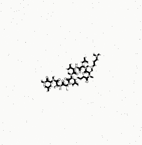 CCCC(=O)N(C)[C@H](COCCCN(C)C)C(=O)N(C)[C@@H](CC(C)C)C(=O)N[C@H](C(=O)N(C)[C@@H](CC(C)C)C(=O)N[C@H](C)C(=O)N[C@@H](C)C(=O)N(C)[C@@H](CC(C)C)C(=O)NC)C(C)C